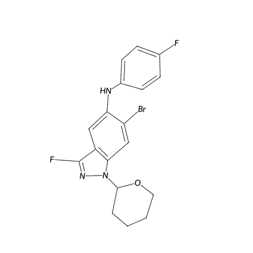 Fc1ccc(Nc2cc3c(F)nn(C4CCCCO4)c3cc2Br)cc1